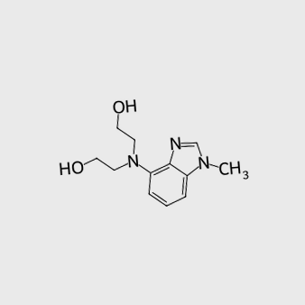 Cn1cnc2c(N(CCO)CCO)cccc21